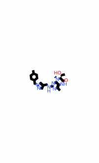 Cc1nc(NCc2cnn(CC3CCC(C)CC3)c2)nc2c1NC(=O)[C@H](C(C)O)N2C